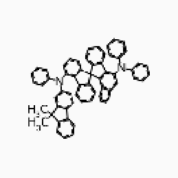 CC1(C)c2ccccc2-c2ccc(N(c3ccccc3)c3cccc4c3-c3ccccc3C43c4ccccc4-c4c(N(c5ccccc5)c5ccccc5)cc5ccccc5c43)cc21